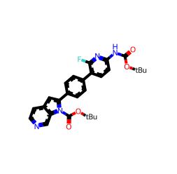 CC(C)(C)OC(=O)Nc1ccc(-c2ccc(-c3cc4ccncc4n3C(=O)OC(C)(C)C)cc2)c(F)n1